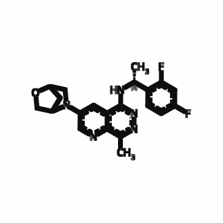 Cc1nnc(N[C@H](C)c2ccc(F)cc2F)c2cc(N3CC4CC3CO4)cnc12